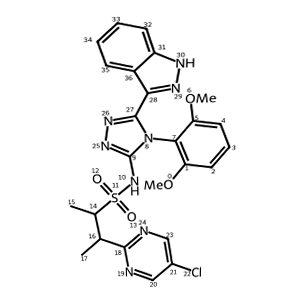 COc1cccc(OC)c1-n1c(NS(=O)(=O)C(C)C(C)c2ncc(Cl)cn2)nnc1-c1n[nH]c2ccccc12